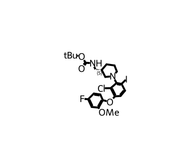 COc1cc(F)ccc1Oc1ccc(I)c(N2CCC[C@@H](CNC(=O)OC(C)(C)C)C2)c1Cl